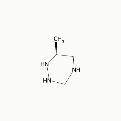 C[C@H]1CNCNN1